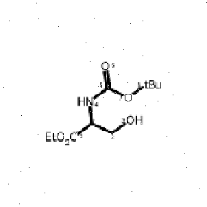 CCOC(=O)C(CO)NC(=O)OC(C)(C)C